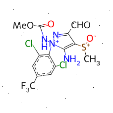 COC(=O)N[N+]1(c2c(Cl)cc(C(F)(F)F)cc2Cl)N=C(C=O)C([S+](C)[O-])=C1N